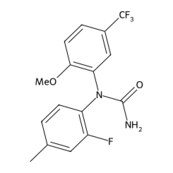 COc1ccc(C(F)(F)F)cc1N(C(N)=O)c1ccc(C)cc1F